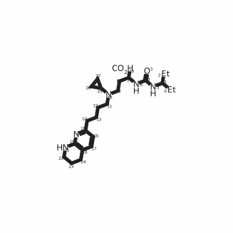 CCC(CC)NC(=O)NC(CCN(CCCCc1ccc2c(n1)NCCC2)C1CC1)C(=O)O